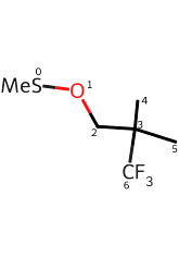 CSOCC(C)(C)C(F)(F)F